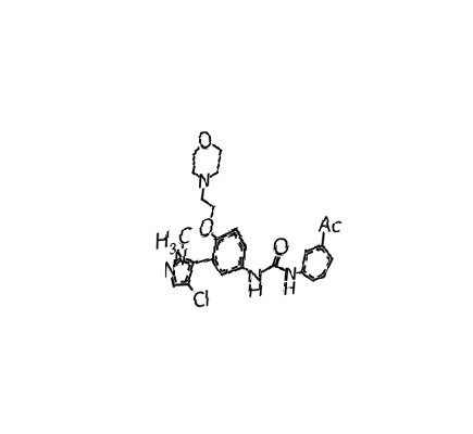 CC(=O)c1cccc(NC(=O)Nc2ccc(OCCN3CCOCC3)c(-c3c(Cl)cnn3C)c2)c1